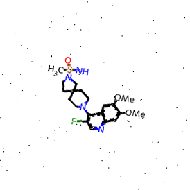 COc1cc2ncc(F)c(N3CCC4(CC3)CCN(S(C)(=N)=O)C4)c2cc1OC